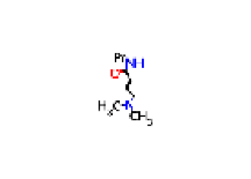 CC(C)NC(=O)C=CCN(C)C